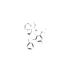 CCC(C(=O)Nc1c(C)cc(C)cc1C(=O)OC)[N+]1(CC(=O)OCc2ccccc2)CCCCC1